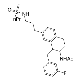 C=S(=O)(CCC)NCCCc1ccc2c(c1)C(Cc1cccc(F)c1)C(NC(C)=O)CC2